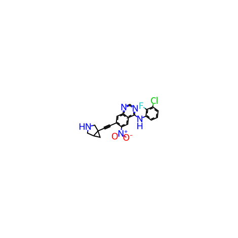 O=[N+]([O-])c1cc2c(Nc3cccc(Cl)c3F)ncnc2cc1C#CC12CNCC1C2